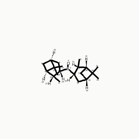 C[C@H]1[C@@H](B(Cl)[C@H]2C[C@@H]3C[C@H]([C@H]2C)C3(C)C)C[C@@H]2C[C@H]1C2(C)C